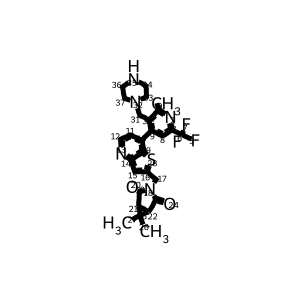 Cc1nc(C(F)(F)F)cc(-c2ccnc3cc(CN4C(=O)C5C(C4=O)C5(C)C)sc23)c1CN1CCNCC1